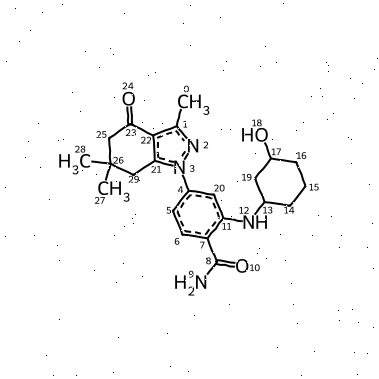 Cc1nn(-c2ccc(C(N)=O)c(NC3CCCC(O)C3)c2)c2c1C(=O)CC(C)(C)C2